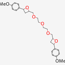 COc1ccc(C2CC(COCCOCCOCC3CC(c4ccc(OC)cc4)O3)O2)cc1